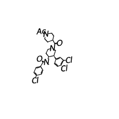 CC(=O)N1CCC(C(=O)N2CC[C@H](N(C)C(=O)c3ccc(Cl)cc3)[C@H](c3ccc(Cl)c(Cl)c3)C2)CC1